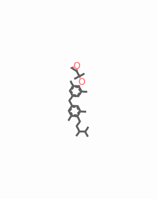 Cc1cc(Cc2cc(C)c(OC(C)(C)C3CO3)c(C)c2)cc(C)c1CCC(C)C(C)C